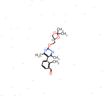 Cc1nc(OC[C@H]2COC(C)(C)O2)nc(C)c1-c1cccc(C=O)c1C